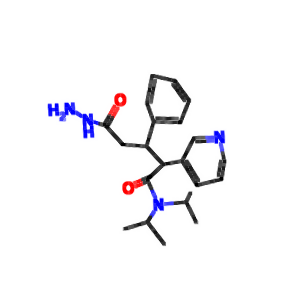 CC(C)N(C(=O)C(c1cccnc1)C(CC(=O)NN)c1ccccc1)C(C)C